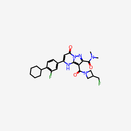 CN(C)C(=O)c1nn2c(=O)cc(-c3ccc(C4CCCCC4)c(F)c3)[nH]c2c1C(=O)N1CC(CF)C1